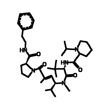 C/C(=C\[C@H](C(C)C)N(C)C(=O)[C@@H](NC(=O)C1CCCCN1C(C)C)C(C)(C)C)C(=O)N1CCC[C@H]1C(=O)NCCc1ccccc1